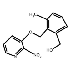 Cc1cccc(CO)c1COc1cccnc1[N+](=O)[O-]